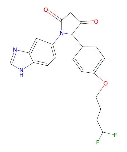 O=C1CC(=O)N(c2ccc3[nH]cnc3c2)C1c1ccc(OCCCC(F)F)cc1